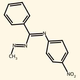 C/N=N/C(=N\c1ccc([N+](=O)[O-])cc1)c1ccccc1